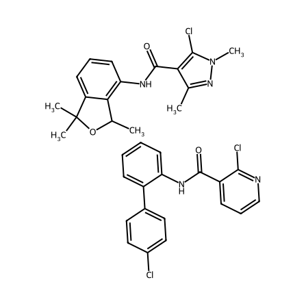 Cc1nn(C)c(Cl)c1C(=O)Nc1cccc2c1C(C)OC2(C)C.O=C(Nc1ccccc1-c1ccc(Cl)cc1)c1cccnc1Cl